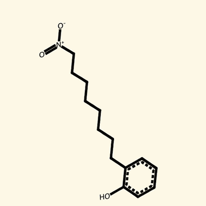 O=[N+]([O-])CCCCCCCCc1ccccc1O